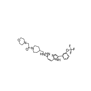 N=C(/C=C\c1ncc(-c2cccc(OC(F)(F)F)c2)[nH]1)NCC1CCN(C(=O)CN2CCOCC2)CC1